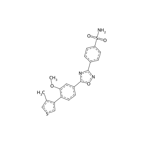 COc1cc(-c2nc(-c3ccc(S(N)(=O)=O)cc3)no2)ccc1-c1cscc1C